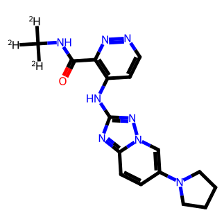 [2H]C([2H])([2H])NC(=O)c1nnccc1Nc1nc2ccc(N3CCCC3)cn2n1